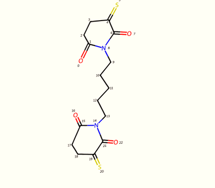 O=C1CCC(=S)C(=O)N1CCCCCN1C(=O)CCC(=S)C1=O